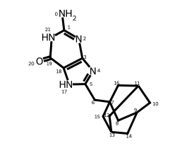 Nc1nc2nc(CC34CC5CC(CC(C5)C3)C4)[nH]c2c(=O)[nH]1